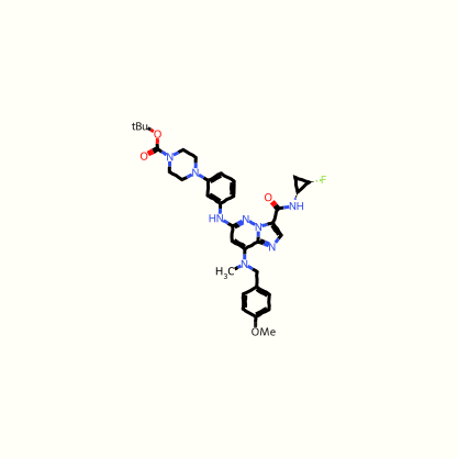 COc1ccc(CN(C)c2cc(Nc3cccc(N4CCN(C(=O)OC(C)(C)C)CC4)c3)nn3c(C(=O)N[C@@H]4C[C@@H]4F)cnc23)cc1